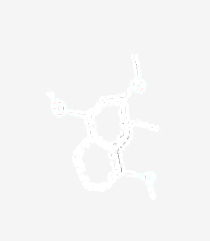 [CH2]c1c(OC)cc(OC)c2cccc(OC)c12